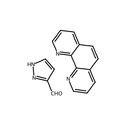 O=Cc1cc[nH]n1.c1cnc2c(c1)ccc1cccnc12